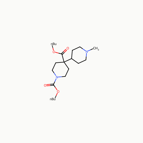 CCCCOC(=O)N1CCC(C(=O)OCCCC)(C2CCN(C)CC2)CC1